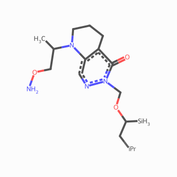 CC(C)CC([SiH3])OCn1ncc2c(c1=O)CCCN2C(C)CON